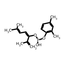 C=C(C)/C(=C\C=C(C)C)OP(O)Oc1ccc(C)cc1C